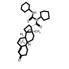 C[C@]12CC[C@H]3[C@@H](CCC4=CC(=O)CC[C@@]43C)[C@@H]1CC[C@@H]2C(=O)N(C(=S)NC1CCCCC1)C1CCCCC1